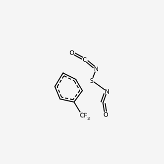 FC(F)(F)c1ccccc1.O=C=NSN=C=O